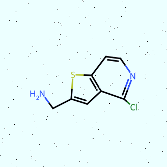 NCc1cc2c(Cl)nccc2s1